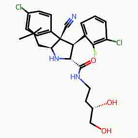 CC(C)(C)C[C@@H]1N[C@@H](C(=O)NCC[C@H](O)CO)[C@H](c2cccc(Cl)c2F)[C@@]1(C#N)c1ccc(Cl)cc1